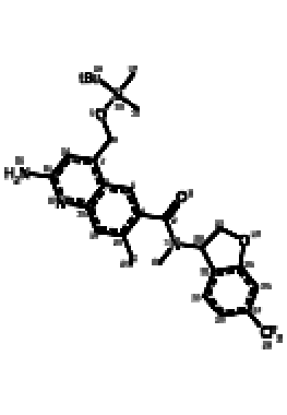 CN(C(=O)c1cc2c(CO[Si](C)(C)C(C)(C)C)cc(N)nc2cc1F)C1COc2cc(C(F)(F)F)ccc21